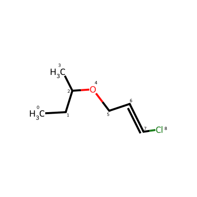 CCC(C)OC/C=C/Cl